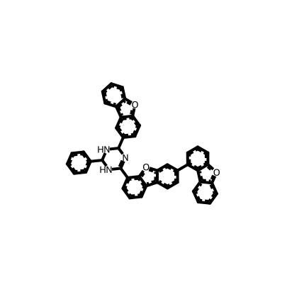 c1ccc(C2NC(c3cccc4c3oc3cc(-c5cccc6oc7ccccc7c56)ccc34)=NC(c3ccc4oc5ccccc5c4c3)N2)cc1